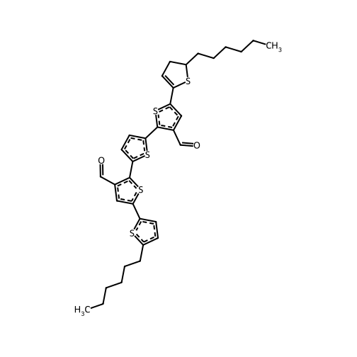 CCCCCCc1ccc(-c2cc(C=O)c(-c3ccc(-c4sc(C5=CCC(CCCCCC)S5)cc4C=O)s3)s2)s1